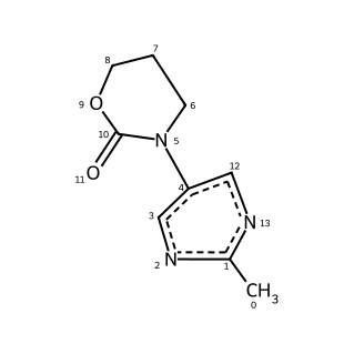 Cc1ncc(N2CCCOC2=O)cn1